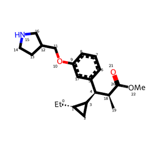 CC[C@H]1CC1[C@@H](c1cccc(OCC2CCNC2)c1)[C@H](C)C(=O)OC